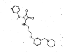 CN(c1cccnc1)c1c(NCCCOc2cccc(CN3CCCCC3)c2)c(=O)c1=O